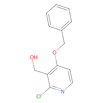 OCc1c(OCc2ccccc2)ccnc1Cl